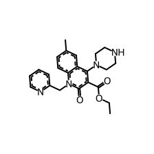 CCOC(=O)c1c(N2CCNCC2)c2cc(C)ccc2n(Cc2ccccn2)c1=O